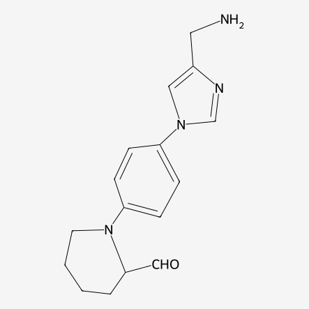 NCc1cn(-c2ccc(N3CCCCC3C=O)cc2)cn1